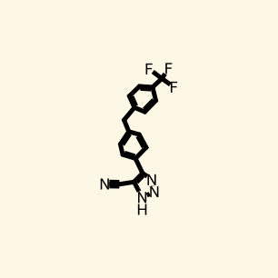 N#Cc1[nH]nnc1-c1ccc(Cc2ccc(C(F)(F)F)cc2)cc1